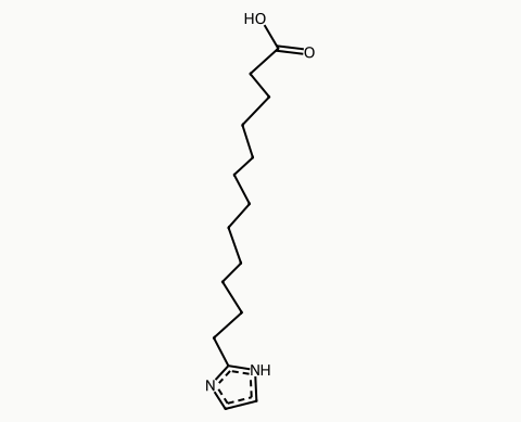 O=C(O)CCCCCCCCCCCc1ncc[nH]1